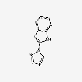 c1ccc2[nH]c(-n3cncn3)cc2c1